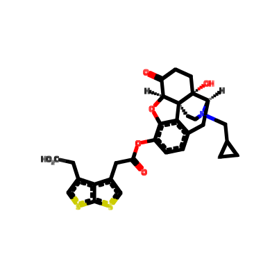 O=C(O)Cc1csc2scc(CC(=O)Oc3ccc4c5c3O[C@H]3C(=O)CC[C@@]6(O)[C@@H](C4)N(CC4CC4)CC[C@]536)c12